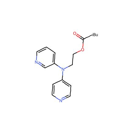 CCC(C)C(=O)OCCN(c1ccncc1)c1cccnc1